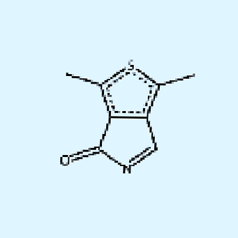 Cc1sc(C)c2c1C=NC2=O